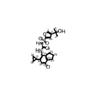 CC(C)(O)c1coc(S(=O)(=O)NC(=O)Nc2c(C3CC3)cc(Cl)c3c2CCC3)c1